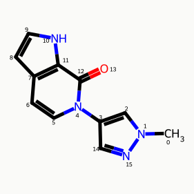 Cn1cc(-n2ccc3cc[nH]c3c2=O)cn1